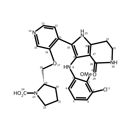 COc1c(Cl)cccc1Nc1c(-c2ccncc2OC[C@@H]2CCCN2C(=O)O)[nH]c2c1C(=O)NCC2